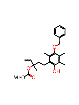 C=CC(C)(CCc1c(C)c(OCc2ccccc2)c(C)c(C)c1O)OC(=O)OC